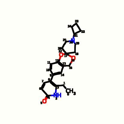 CCc1[nH]c(=O)ccc1-c1ccc2c(c1)COC1(CCN(C3CCC3)CC1)O2